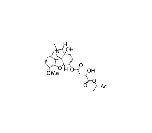 COc1ccc2c3c1O[C@H]1C(OC(=O)C[C@H](O)C(=O)O[C@@H](C)C(C)=O)=CC[C@@]4(O)[C@@H](C2)N(C)CC[C@]314